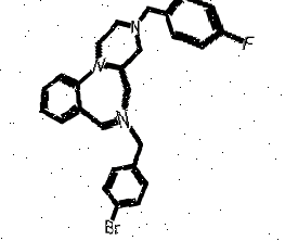 Fc1ccc(CN2CCN3c4ccccc4CN(Cc4ccc(Br)cc4)CC3C2)cc1